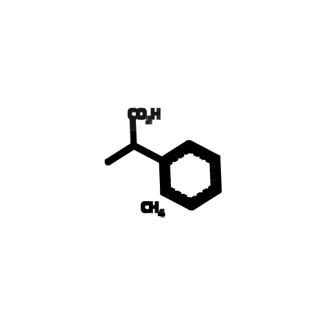 C.CC(C(=O)O)c1ccccc1